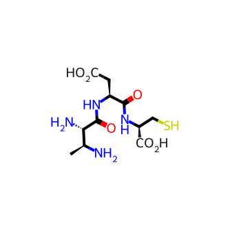 C[C@H](N)[C@H](N)C(=O)N[C@@H](CC(=O)O)C(=O)N[C@@H](CS)C(=O)O